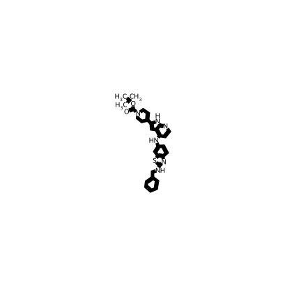 CC(C)(C)OC(=O)N1CC=C(c2cc3c(Nc4ccc5nc(NCc6ccccc6)sc5c4)ccnc3[nH]2)CC1